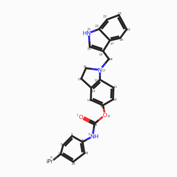 CC(C)c1ccc(NC(=O)Oc2ccc3c(c2)CCN3Cc2c[nH]c3ccccc23)cc1